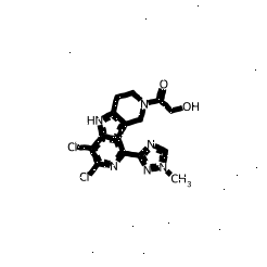 Cn1cnc(-c2nc(Cl)c(Cl)c3[nH]c4c(c23)CN(C(=O)CO)CC4)n1